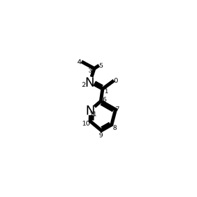 CC(=NC(C)C)c1ccccn1